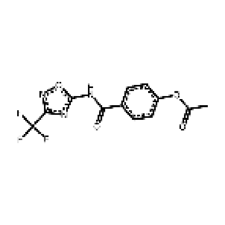 CC(=O)Oc1ccc(C(=O)Nc2nc(C(F)(F)F)no2)cc1